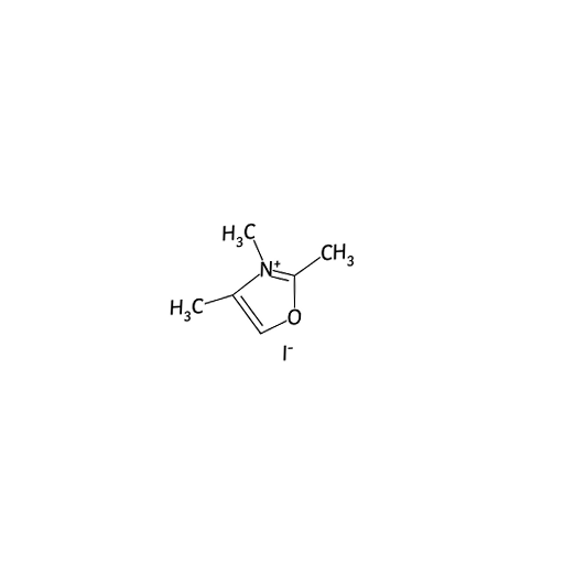 Cc1coc(C)[n+]1C.[I-]